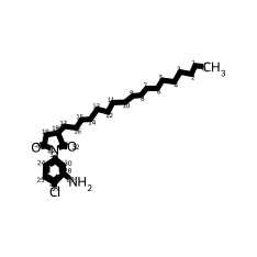 CCCCCCCCCCCCCCCCCCC1CC(=O)N(c2ccc(Cl)c(N)c2)C1=O